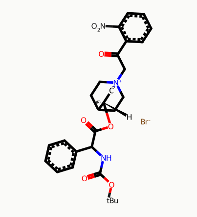 CC(C)(C)OC(=O)NC(C(=O)O[C@H]1C[N+]2(CC(=O)c3ccccc3[N+](=O)[O-])CCC1CC2)c1ccccc1.[Br-]